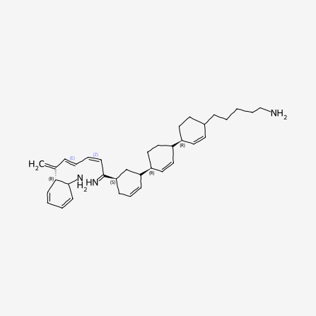 C=C(/C=C/C=C\C(=N)[C@@H]1CC=CC([C@@H]2C=CC([C@@H]3C=CC(CCCCCN)CC3)CC2)C1)[C@H]1C=CC=CC1N